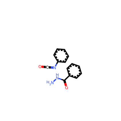 NNC(=O)c1ccccc1.O=C=Nc1ccccc1